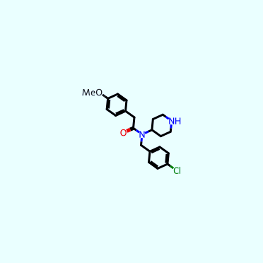 COc1ccc(CC(=O)N(Cc2ccc(Cl)cc2)C2CCNCC2)cc1